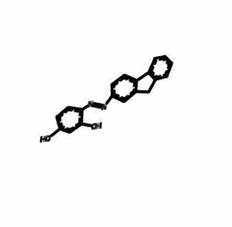 Oc1ccc(N=Nc2ccc3c(c2)Cc2ccccc2-3)c(O)c1